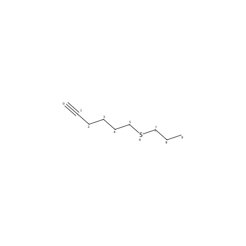 C#CCCCCS[CH]CC